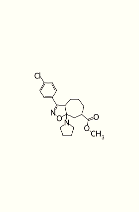 COC(=O)C1CCCC2C(c3ccc(Cl)cc3)=NOC2(N2CCCC2)C1